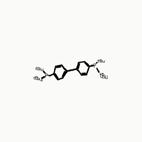 CC(C)(C)P(c1ccc(-c2ccc(P(C(C)(C)C)C(C)(C)C)cc2)cc1)C(C)(C)C